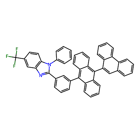 FC(F)(F)c1ccc2c(c1)nc(-c1cccc(-c3c4ccccc4c(-c4cc5ccccc5c5ccccc45)c4ccccc34)c1)n2-c1ccccc1